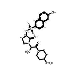 CC(C(=O)N1CCC(C(=O)O)CC1)N1CCC(NS(=O)(=O)c2ccc3cc(Cl)ccc3c2)C1=O